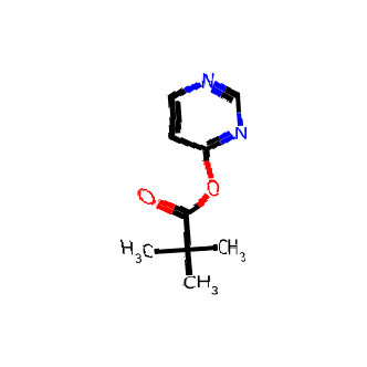 CC(C)(C)C(=O)Oc1ccncn1